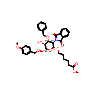 COC(=O)CCCCCO[C@@H]1O[C@H](COCc2ccc(OC)cc2)[C@@H](O)[C@H](OCc2ccccc2)[C@H]1N1C(=O)c2ccccc2C1=O